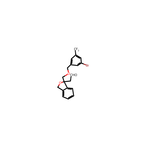 O=CCC1(COCc2cc(Br)cc(C(F)(F)F)c2)OCc2ccccc21